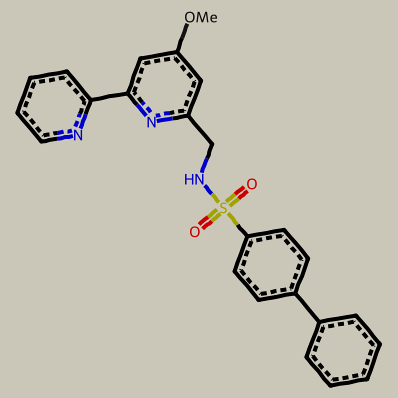 COc1cc(CNS(=O)(=O)c2ccc(-c3ccccc3)cc2)nc(-c2ccccn2)c1